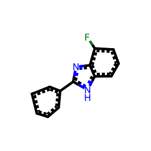 Fc1cccc2[nH]c(-c3ccccc3)nc12